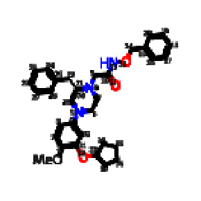 COc1ccc(N2CCN(CC(=O)NOCc3ccccc3)[C@@H](Cc3ccccc3)C2)cc1OC1CCCC1